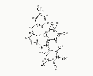 CCCn1c(=O)c2c(cc(-c3cnn(Cc4cccc(C(F)(F)F)c4)c3)n2C(CC)OC(=O)C23CC2C3)n(CC)c1=O